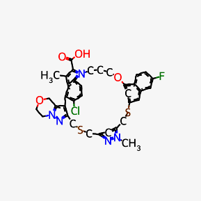 Cc1c(C(=O)O)n2c3ccc(Cl)c(c13)-c1c(nn3c1COCC3)CSCc1cc(n(C)n1)CSc1cc(c3ccc(F)cc3c1)OCCC2